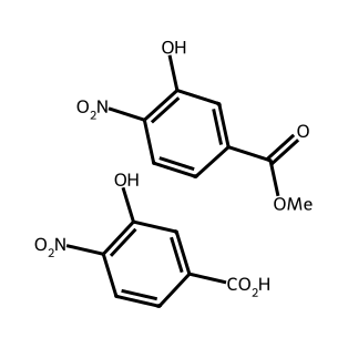 COC(=O)c1ccc([N+](=O)[O-])c(O)c1.O=C(O)c1ccc([N+](=O)[O-])c(O)c1